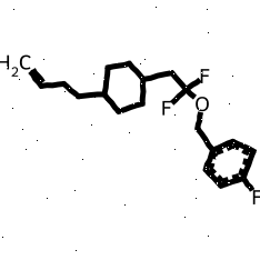 C=CCCC1CCC(CC(F)(F)OCc2ccc(F)cc2)CC1